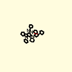 C1=CC2c3c(c4c(nc(-c5ccccc5)n4-c4ccccc4)c4c5ccccc5n(-c5ccccc5)c34)N(c3ccc(-c4ccccc4)cc3)C2C=C1